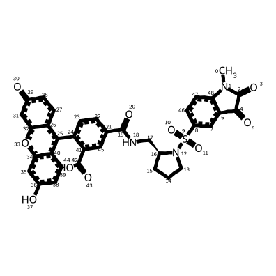 CN1C(=O)C(=O)c2cc(S(=O)(=O)N3CCC[C@H]3CNC(=O)c3ccc(-c4c5ccc(=O)cc-5oc5cc(O)ccc45)c(C(=O)O)c3)ccc21